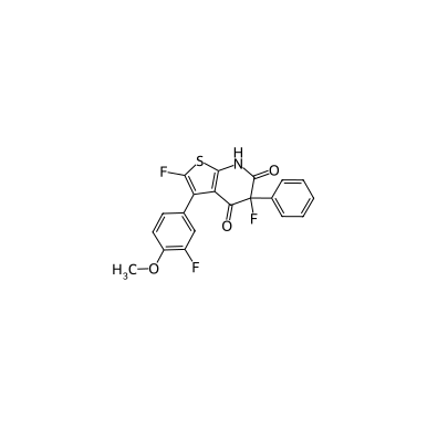 COc1ccc(-c2c(F)sc3c2C(=O)C(F)(c2ccccc2)C(=O)N3)cc1F